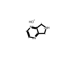 Cl.c1cnc2c(n1)CNC2